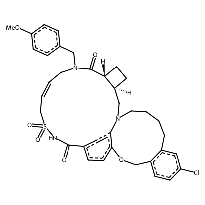 COc1ccc(CN2C/C=C\CS(=O)(=O)NC(=O)c3ccc4c(c3)N(CCCCc3cc(Cl)ccc3CO4)C[C@@H]3CC[C@H]3C2=O)cc1